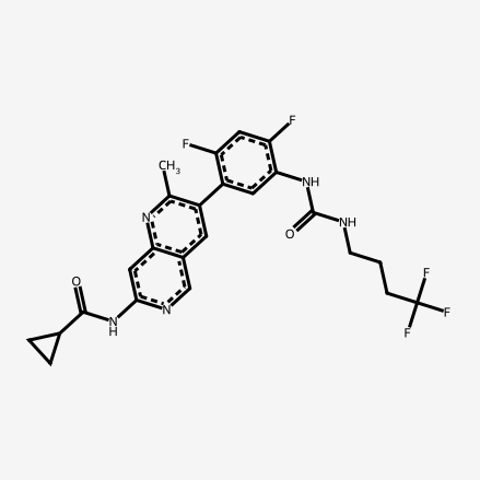 Cc1nc2cc(NC(=O)C3CC3)ncc2cc1-c1cc(NC(=O)NCCCC(F)(F)F)c(F)cc1F